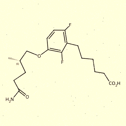 C[C@@H](CCC(N)=O)COc1ccc(F)c(CCCCCC(=O)O)c1F